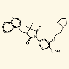 COc1ccc(N2C(=O)N(Cc3ccnc4ccccc34)C(C)(C)C2=O)cc1OCCN1CCCC1